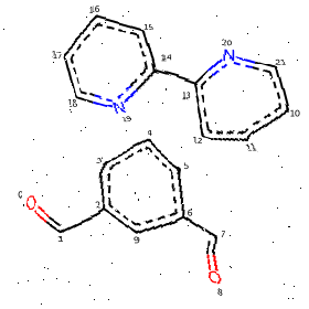 O=Cc1cccc(C=O)c1.c1ccc(-c2ccccn2)nc1